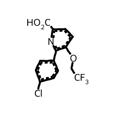 O=C(O)c1ccc(OCC(F)(F)F)c(-c2ccc(Cl)cc2)n1